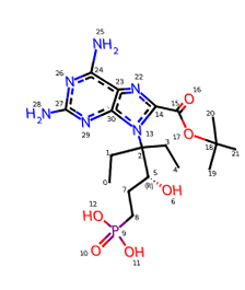 CCC(CC)([C@H](O)CCP(=O)(O)O)n1c(C(=O)OC(C)(C)C)nc2c(N)nc(N)nc21